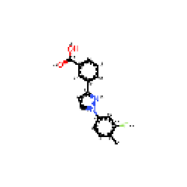 Cc1ccc(-n2ccc(-c3cccc(C(=O)O)c3)n2)cc1F